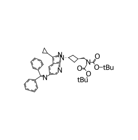 CC(C)(C)OC(=O)N(C[C@H]1C[C@H](n2nc(C3CC3)c3cc(N=C(c4ccccc4)c4ccccc4)cnc32)C1)C(=O)OC(C)(C)C